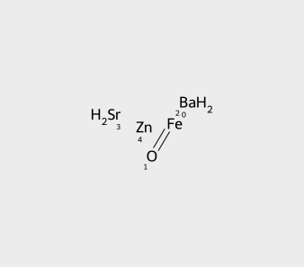 [BaH2].[O]=[Fe].[SrH2].[Zn]